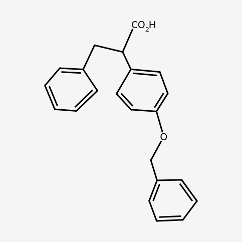 O=C(O)C(Cc1ccccc1)c1ccc(OCc2ccccc2)cc1